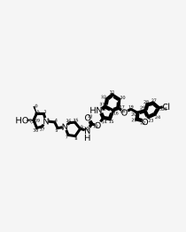 C[C@H]1CN(CCN2CCC(NC(=O)Oc3cc4c(OCc5coc6cc(Cl)ccc56)cccc4[nH]3)CC2)CC[C@@H]1O